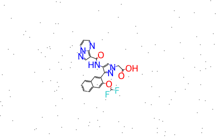 O=C(O)Cn1cc(NC(=O)c2cnn3cccnc23)c(-c2cc3ccccc3cc2OC(F)F)n1